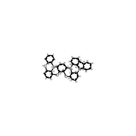 c1ccc2c(c1)Oc1cccc3c1B2c1ccc2c(c1O3)Oc1cccc3c1B2c1cccc2c4ccccc4n-3c12